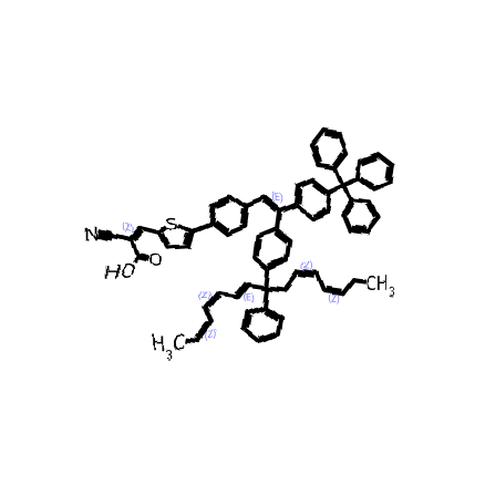 C\C=C/C=C\C=C\C(C/C=C\C=C/CC)(c1ccccc1)c1ccc(/C(=C\c2ccc(-c3ccc(/C=C(/C#N)C(=O)O)s3)cc2)c2ccc(C(c3ccccc3)(c3ccccc3)c3ccccc3)cc2)cc1